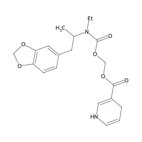 CCN(C(=O)OCOC(=O)C1=CNC=CC1)C(C)Cc1ccc2c(c1)OCO2